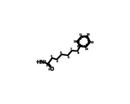 [NH]C(=O)CCCCCCc1ccccc1